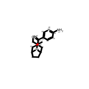 CC(CO)N1C2CCC1CN(C(=O)c1ccc(N)nc1)C2